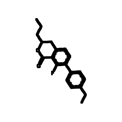 CCCC1Cc2ccc(-c3ccc(CC)cc3)c(F)c2C(=O)O1